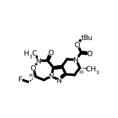 C[C@@H]1Cc2nn3c(c2CN1C(=O)OC(C)(C)C)C(=O)N(C)O[C@@H](CF)C3